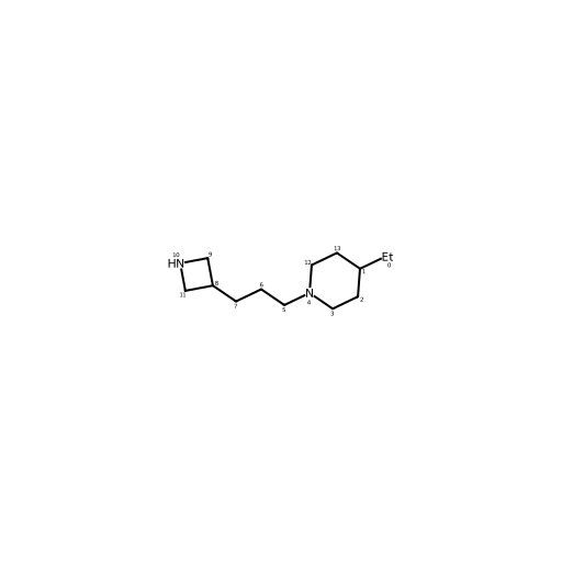 [CH2]CC1CCN(CCCC2CNC2)CC1